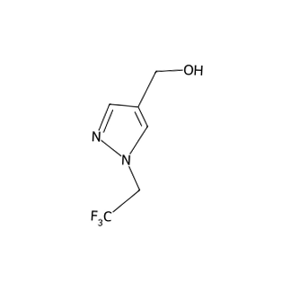 OCc1cnn(CC(F)(F)F)c1